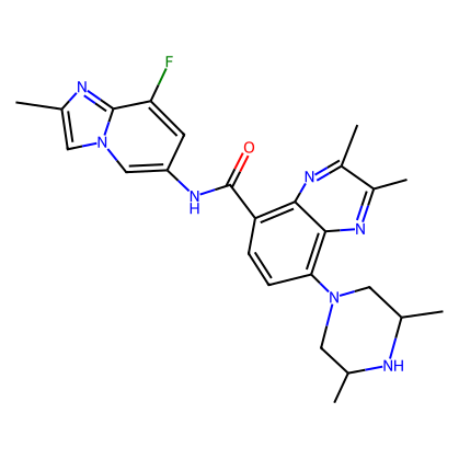 Cc1cn2cc(NC(=O)c3ccc(N4CC(C)NC(C)C4)c4nc(C)c(C)nc34)cc(F)c2n1